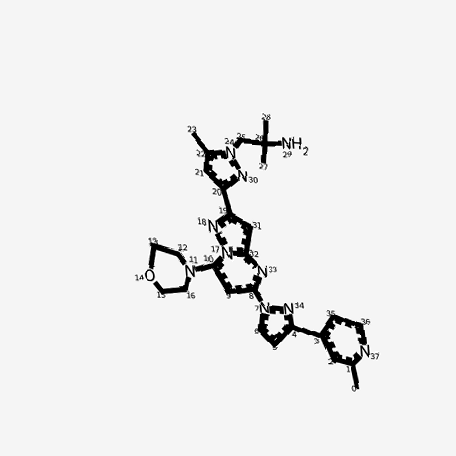 Cc1cc(-c2ccn(-c3cc(N4CCOCC4)n4nc(-c5cc(C)n(CC(C)(C)N)n5)cc4n3)n2)ccn1